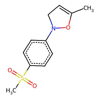 CC1=CCN(c2ccc(S(C)(=O)=O)cc2)O1